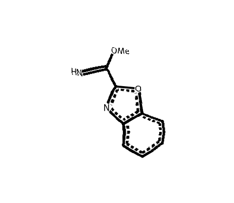 COC(=N)c1nc2ccccc2o1